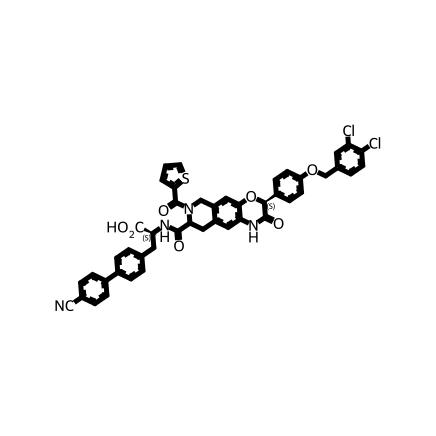 N#Cc1ccc(-c2ccc(C[C@H](NC(=O)C3Cc4cc5c(cc4CN3C(=O)c3cccs3)O[C@@H](c3ccc(OCc4ccc(Cl)c(Cl)c4)cc3)C(=O)N5)C(=O)O)cc2)cc1